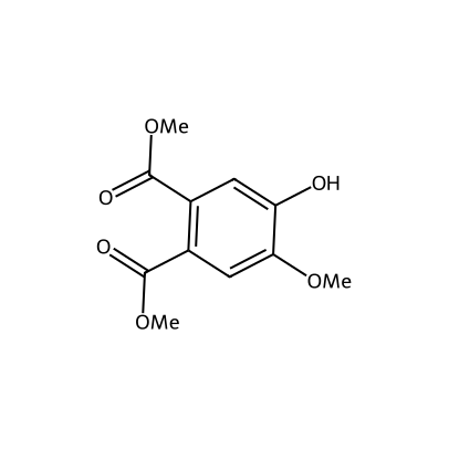 COC(=O)c1cc(O)c(OC)cc1C(=O)OC